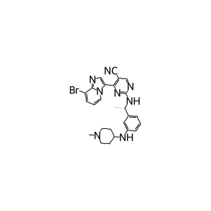 C[C@H](Nc1ncc(C#N)c(-c2cnc3c(Br)cccn23)n1)c1cccc(NC2CCN(C)CC2)c1